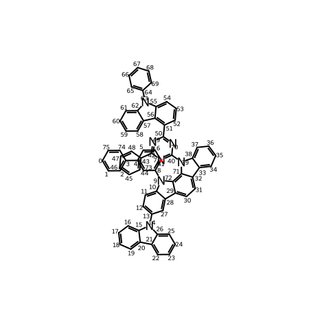 c1ccc(-c2cccc(-n3c4ccc(-n5c6ccccc6c6ccccc65)cc4c4ccc5c6ccccc6n(-c6nc(-c7ccccc7)nc(-c7cccc8c7c7ccccc7n8-c7ccccc7)n6)c5c43)c2)cc1